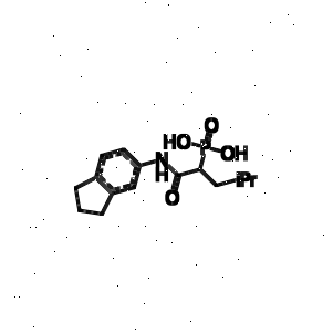 CC(C)CC(C(=O)Nc1ccc2c(c1)CCC2)P(=O)(O)O